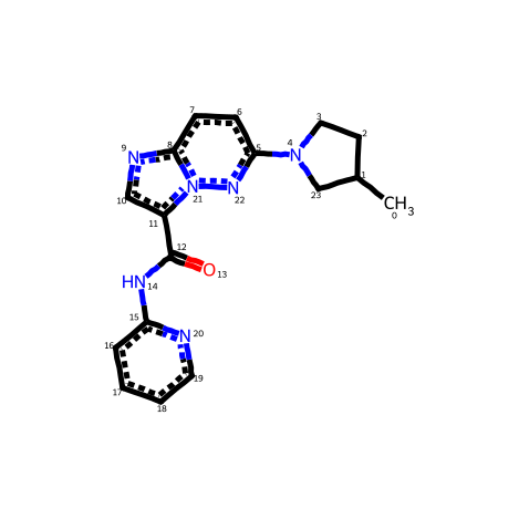 CC1CCN(c2ccc3ncc(C(=O)Nc4ccccn4)n3n2)C1